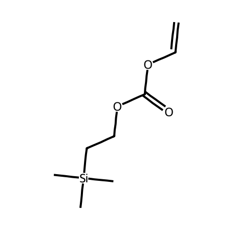 C=COC(=O)OCC[Si](C)(C)C